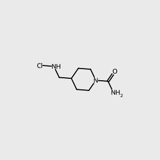 NC(=O)N1CCC(CNCl)CC1